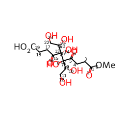 COC(=O)CCC(=O)[C@](O)([C@H](O)CO)[C@@](O)(C(=O)CCC(=O)O)[C@@H](O)CO